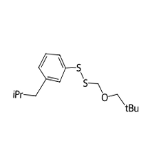 CC(C)Cc1cccc(SSCOCC(C)(C)C)c1